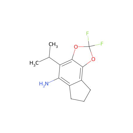 CC(C)c1c(N)c2c(c3c1OC(F)(F)O3)CCC2